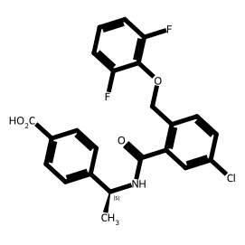 C[C@H](NC(=O)c1cc(Cl)ccc1COc1c(F)cccc1F)c1ccc(C(=O)O)cc1